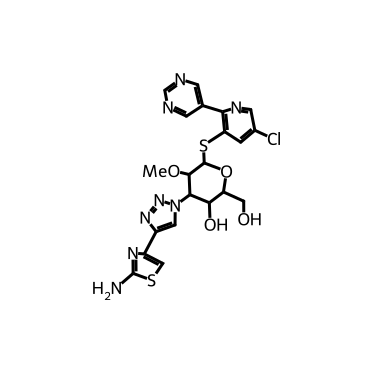 COC1C(Sc2cc(Cl)cnc2-c2cncnc2)OC(CO)C(O)C1n1cc(-c2csc(N)n2)nn1